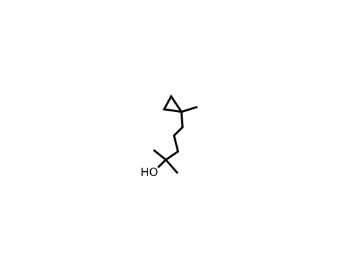 CC(C)(O)CCCC1(C)CC1